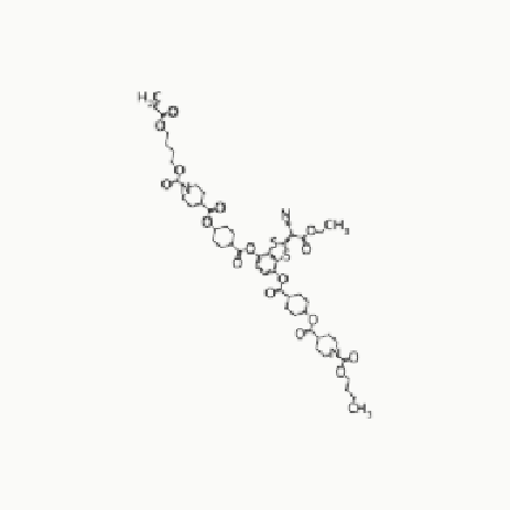 C=CC(=O)OCCCCOC(=O)N1CCC(C(=O)OC2CCC(C(=O)Oc3ccc(OC(=O)C4CCC(OC(=O)C5CCN(C(=O)OCCCC)CC5)CC4)c4c3S/C(=C(\C#N)C(=O)OCC)S4)CC2)CC1